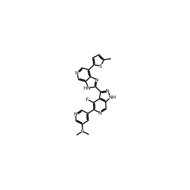 Cc1ccc(-c2cncc3[nH]c(-c4n[nH]c5cnc(-c6cncc(N(C)C)c6)c(F)c45)nc23)s1